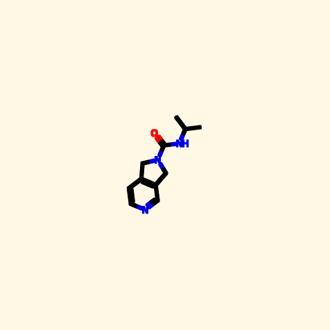 CC(C)NC(=O)N1Cc2ccncc2C1